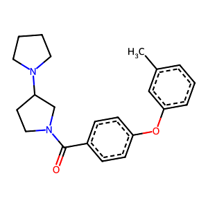 Cc1cccc(Oc2ccc(C(=O)N3CCC(N4CCCC4)C3)cc2)c1